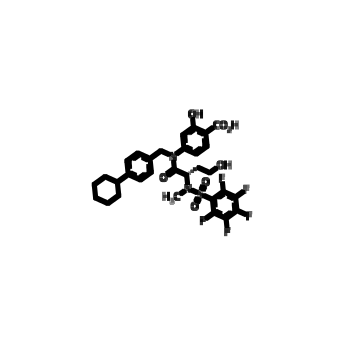 CN([C@@H](CCO)C(=O)N(Cc1ccc(C2CCCCC2)cc1)c1ccc(C(=O)O)c(O)c1)S(=O)(=O)c1c(F)c(F)c(F)c(F)c1F